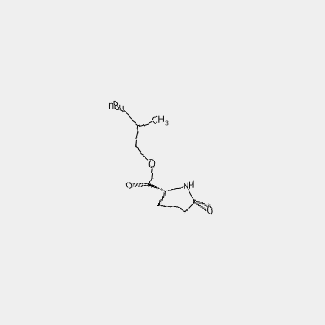 CCCCC(C)COC(=O)[C@@H]1CCC(=O)N1